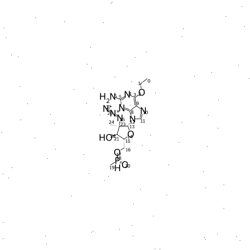 CCOc1nc(N)nc2c1ncn2[C@@H]1O[C@H](CO[PH](C)=O)[C@@H](O)[C@@]1(C)N=[N+]=[N-]